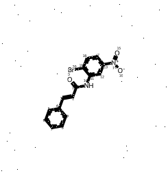 O=C(C=Cc1ccccc1)Nc1cc([N+](=O)[O-])ccc1Br